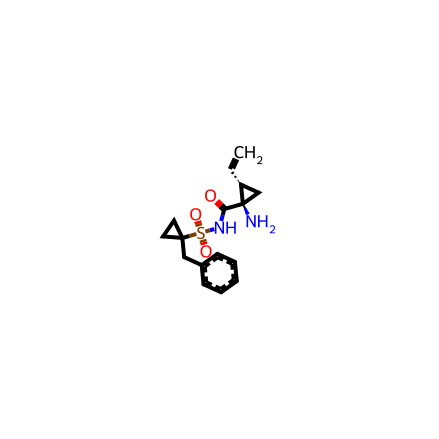 C=C[C@@H]1C[C@]1(N)C(=O)NS(=O)(=O)C1(Cc2ccccc2)CC1